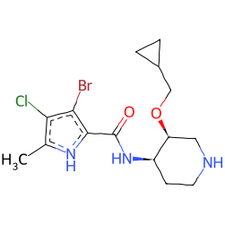 Cc1[nH]c(C(=O)N[C@@H]2CCNC[C@@H]2OCC2CC2)c(Br)c1Cl